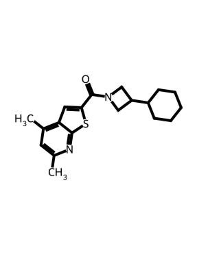 Cc1cc(C)c2cc(C(=O)N3CC(C4CCCCC4)C3)sc2n1